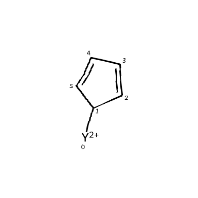 [Y+2][CH]1C=CC=C1